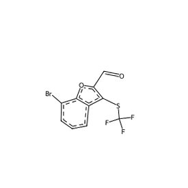 O=Cc1oc2c(Br)cccc2c1SC(F)(F)F